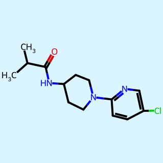 CC(C)C(=O)NC1CCN(c2ccc(Cl)cn2)CC1